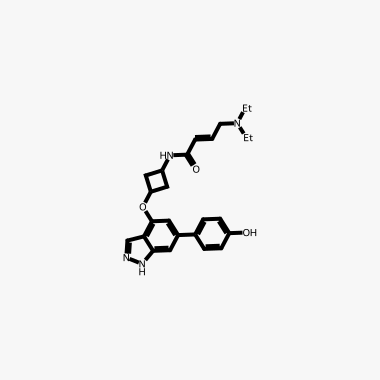 CCN(CC)C/C=C/C(=O)NC1CC(Oc2cc(-c3ccc(O)cc3)cc3[nH]ncc23)C1